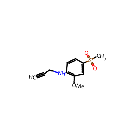 C#CCNc1ccc(S(C)(=O)=O)cc1OC